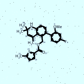 COc1cc(F)ccc1-c1ccc2c(c1COC(=O)c1ccc(C)s1)C(C)=CC(C)(C)N2